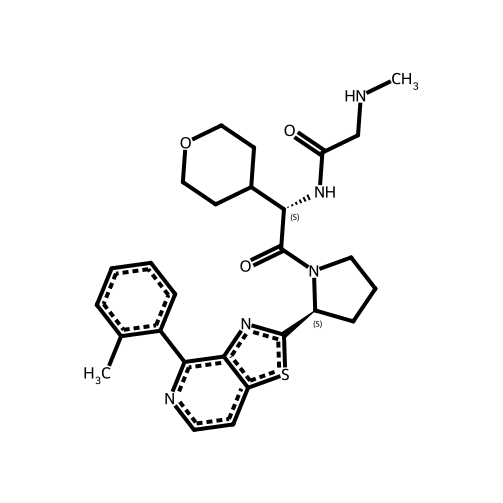 CNCC(=O)N[C@H](C(=O)N1CCC[C@H]1c1nc2c(-c3ccccc3C)nccc2s1)C1CCOCC1